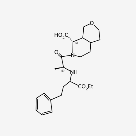 CCOC(=O)C(CCc1ccccc1)N[C@@H](C)C(=O)N1CCC2CCOCC2[C@H]1C(=O)O